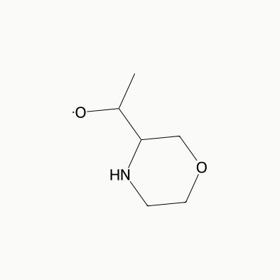 CC([O])C1COCCN1